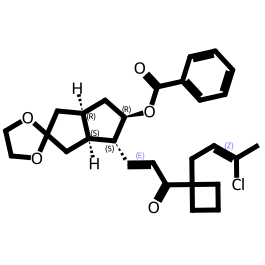 C/C(Cl)=C/CC1(C(=O)/C=C/[C@@H]2[C@H]3CC4(C[C@H]3C[C@H]2OC(=O)c2ccccc2)OCCO4)CCC1